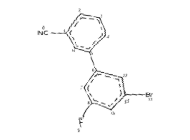 N#Cc1cccc(-c2cc(F)cc(Br)c2)c1